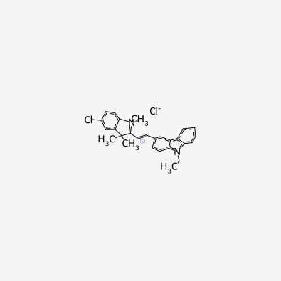 CCn1c2ccccc2c2cc(/C=C/C3=[N+](C)c4ccc(Cl)cc4C3(C)C)ccc21.[Cl-]